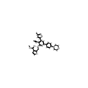 COC(=O)c1ccsc1COc1nc(-c2ccc(N3CCOCC3)cc2)cc(-c2cc(C)no2)c1C#N